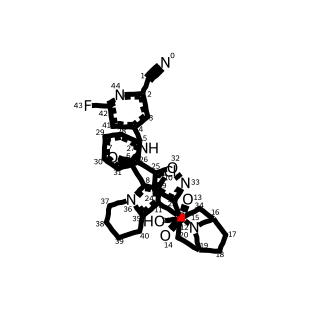 N#Cc1cc(NC(=O)c2c(Cl)c(S(=O)(=O)N3C4CCC3CC(O)(c3cc(-c5ccccc5)on3)C4)c3n2CCCC3)cc(F)n1